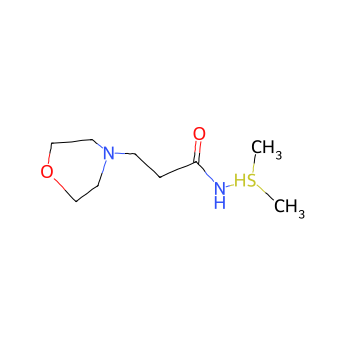 C[SH](C)NC(=O)CCN1CCOCC1